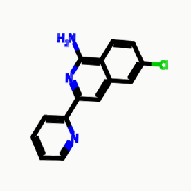 Nc1nc(-c2ccccn2)cc2cc(Cl)ccc12